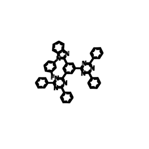 Fc1cccc(-n2c(-c3cc(-c4nc(-c5ccccc5)nc(-c5ccccc5)n4)cc(-c4nc(-c5ccccc5)nc(-c5ccccc5)n4)c3)nc3ccccc32)c1